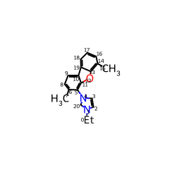 CCN1C=CN(c2c(C)ccc3c2oc2c(C)cccc23)C1